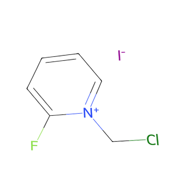 Fc1cccc[n+]1CCl.[I-]